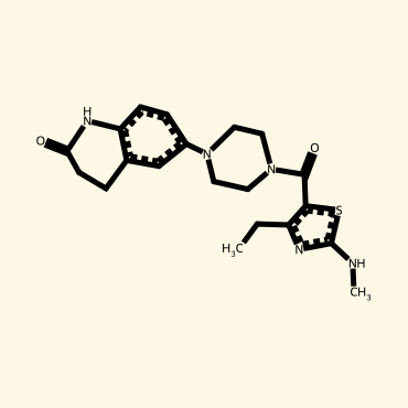 CCc1nc(NC)sc1C(=O)N1CCN(c2ccc3c(c2)CCC(=O)N3)CC1